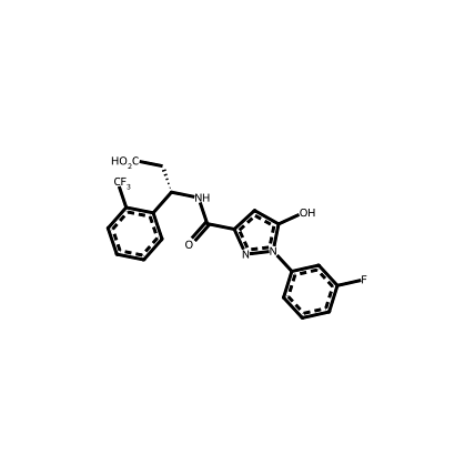 O=C(O)C[C@H](NC(=O)c1cc(O)n(-c2cccc(F)c2)n1)c1ccccc1C(F)(F)F